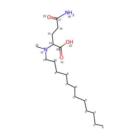 CCCCCCCCCCCCN(C)C(CCC(N)=O)C(=O)O